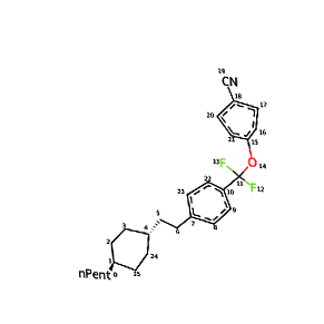 CCCCC[C@H]1CC[C@H](CCc2ccc(C(F)(F)Oc3ccc(C#N)cc3)cc2)CC1